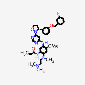 C=CC(=O)Nc1cc(Nc2cc(N3OCC[C@H]3c3cccc(OCc4cccc(F)c4)c3)ncn2)c(OC)cc1N(C)CCN(C)C